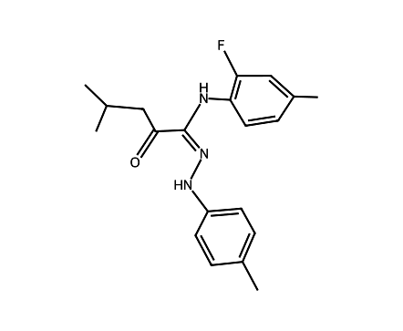 Cc1ccc(N/N=C(/Nc2ccc(C)cc2F)C(=O)CC(C)C)cc1